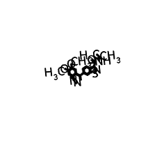 COc1cc2nncc(-c3ccc4c(C(=O)NC(C)C)nsc4c3)c2cc1OC